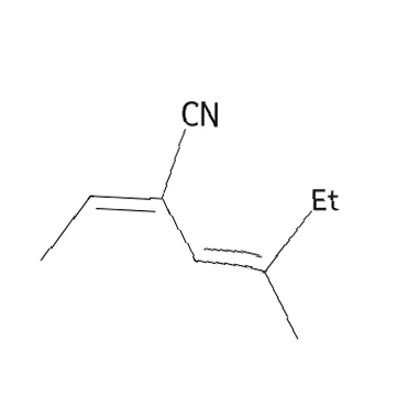 C/C=C(C#N)\C=C(\C)CC